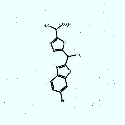 CC(c1nnc(N(C)C(=O)O)o1)c1nc2ccc(Br)cc2s1